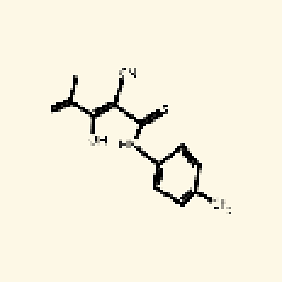 C=C(C)C(O)=C(C#N)C(=S)Nc1ccc(C(F)(F)F)cc1